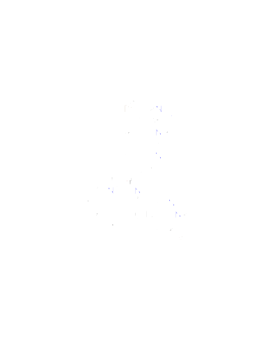 C[C@H](c1ncccc1F)N(Cc1ccc(Br)nn1)C(=O)c1cnc2nc(N)c(Br)cc2c1